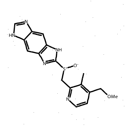 COCc1ccnc(C[S+]([O-])c2nc3cc4[nH]cnc4cc3[nH]2)c1C